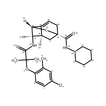 Cc1cc(Cl)ccc1OC(C)(C)C(=O)N[C@@H]1[C@@H]2C[C@]3(C(=O)NN4CCCCC4)CC=C2[C@@H]1C3